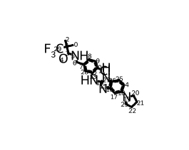 CC(C)(C(=O)NCc1ccc(Cl)c(Nc2nc3cc(N4CCCC4)ccc3[nH]2)c1)C(F)(F)F